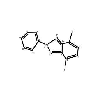 Ic1ccc(I)c2nn(-c3ccccc3)nc12